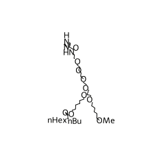 CCCCCCC(CCCC)C(=O)OCCCCCCOC(COCCCCCCOC)COCCOCCOCCOCCNC(=O)c1c[nH]cn1